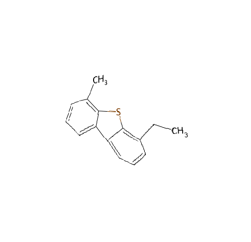 CCc1cccc2c1sc1c(C)cccc12